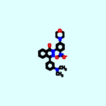 CN(C)c1cccc(-c2nn(-c3cc(N4CCOCC4)ccc3[N+](=O)[O-])c(=O)c3ccccc23)c1